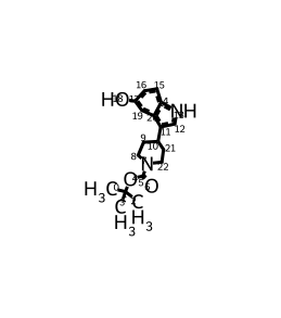 CC(C)(C)OC(=O)N1CCC(c2c[nH]c3ccc(O)cc23)CC1